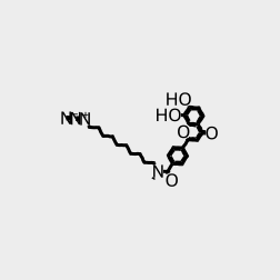 CN(CCCCCCCCCCN=[N+]=[N-])C(=O)c1ccc(-c2cc(=O)c3ccc(O)c(O)c3o2)cc1